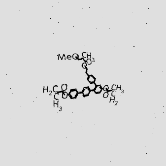 C=C(C)C(=O)Oc1ccc(-c2ccc(-c3ccc(OC(=O)C(=C)C)cc3-c3ccc(CCOC(=O)C(C)COC)cc3)cc2)cc1